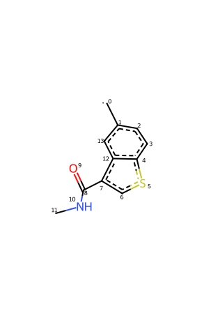 [CH2]c1ccc2scc(C(=O)NC)c2c1